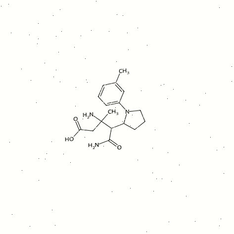 Cc1cccc(N2CCCC2C(C(N)=O)C(C)(N)CC(=O)O)c1